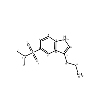 CN(C)S(=O)(=O)c1ccc2[nH]cc(CCN)c2c1